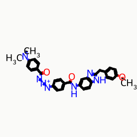 COc1ccc(Cc2nc3cc(NC(=O)c4ccc(N=[N+]=NC(=O)c5ccc(N(C)C)cc5)cc4)ccc3[nH]2)cc1